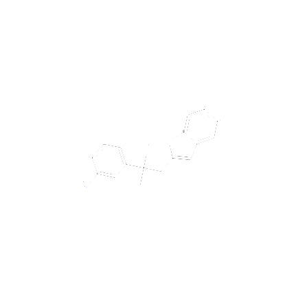 CCOC(=O)C(C)(Cc1cc2ccccc2s1)c1cccc(N)c1